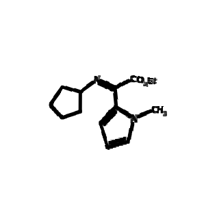 CCOC(=O)C(=NC1CCCC1)c1cccn1C